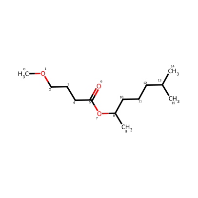 COCCCC(=O)OC(C)CCCC(C)C